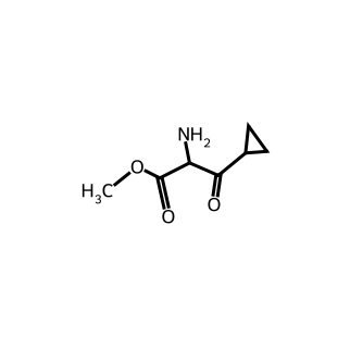 COC(=O)C(N)C(=O)C1CC1